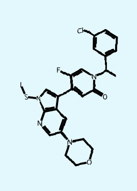 CC(c1cccc(Cl)c1)n1cc(F)c(-c2cn(SI)c3ncc(N4CCOCC4)cc23)cc1=O